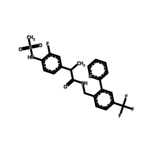 CC(C(=O)NCc1ccc(C(F)(F)F)cc1-c1ccccn1)c1ccc(NS(C)(=O)=O)c(F)c1